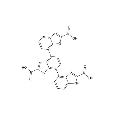 O=C(O)c1cc2c(-c3ccc(-c4cccc5cc(C(=O)O)oc45)c4cc(C(=O)O)sc34)cccc2[nH]1